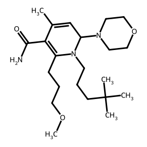 COCCCC1=C(C(N)=O)C(C)=CC(N2CCOCC2)N1CCCC(C)(C)C